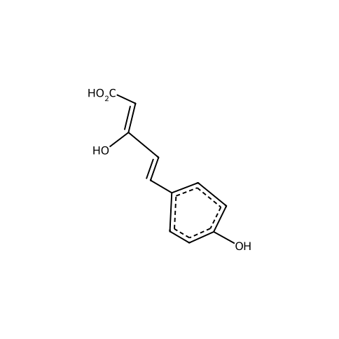 O=C(O)C=C(O)C=Cc1ccc(O)cc1